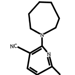 Cc1ccc(C#N)c(N2CCCCCC2)n1